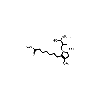 CCCCC[C@H](O)C(F)C[C@@H]1C(CCCCCCC(=O)OC)=C(OC(C)=O)C[C@H]1O